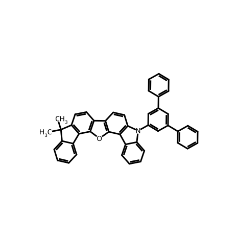 CC1(C)c2ccccc2-c2c1ccc1c2oc2c1ccc1c2c2ccccc2n1-c1cc(-c2ccccc2)cc(-c2ccccc2)c1